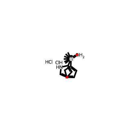 Cl.Cl.[CH3][Ti]([CH3])([CH3])([CH3])([CH3])([CH3])([CH3])([CH3])([CH3])(=[SiH2])([C]1=CC=CC1)[c]1ccc[nH]1